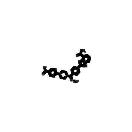 NC(=O)c1cccc2[nH]c(-c3ccc(C(=O)N4CCN(c5ncc(C(=O)[O-])cn5)CC4)cc3)nc12.[Na+]